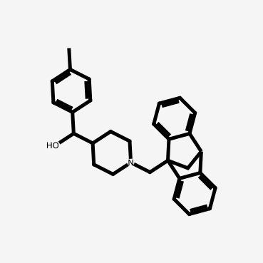 Cc1ccc(C(O)C2CCN(CC34CC(c5ccccc53)c3ccccc34)CC2)cc1